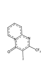 O=c1c(I)c(C(F)(F)F)nc2ccccn12